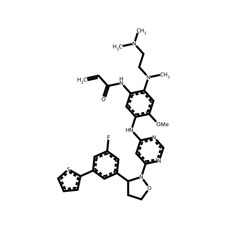 C=CC(=O)Nc1cc(Nc2cc(N3OCCC3c3cc(F)cc(-c4cccs4)c3)ncn2)c(OC)cc1N(C)CCN(C)C